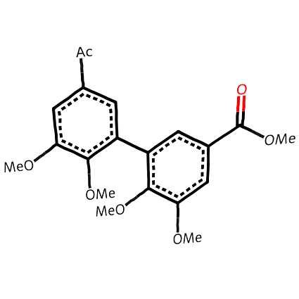 COC(=O)c1cc(OC)c(OC)c(-c2cc(C(C)=O)cc(OC)c2OC)c1